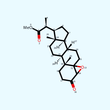 COC(=O)[C@@H](C)[C@H]1CC[C@H]2[C@@H]3CCC45OC4C(=O)CC[C@]5(C)[C@H]3CC[C@]12C